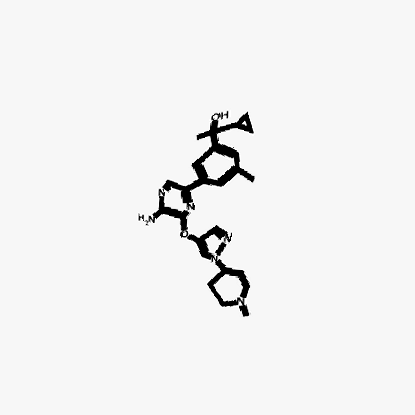 Cc1cc(-c2cnc(N)c(Oc3cnn(C4CCN(C)CC4)c3)n2)cc(C(C)(O)C2CC2)c1